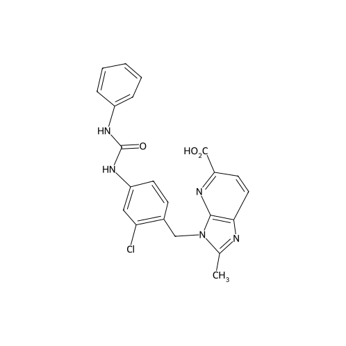 Cc1nc2ccc(C(=O)O)nc2n1Cc1ccc(NC(=O)Nc2ccccc2)cc1Cl